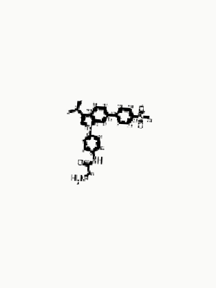 CC(C)c1cn(-c2ccc(NC(=O)CN)cc2)c2cc(-c3ccc(S(C)(=O)=O)cc3)ccc12